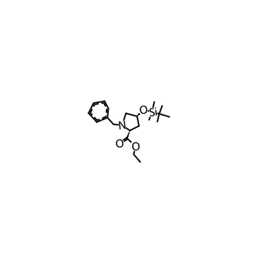 CCOC(=O)[C@@H]1C[C@H](O[Si](C)(C)C(C)(C)C)CN1Cc1ccccc1